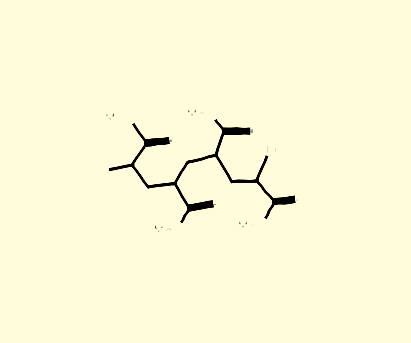 CCC(CC(CC(CC(C)C(=O)OC)C(=O)OC)C(=O)OC)C(=O)OC